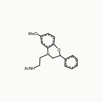 COc1ccc2c(c1)N(CCNC(C)=O)CC(c1ccccc1)O2